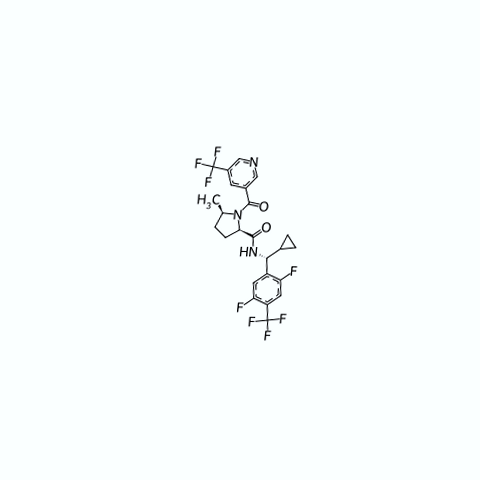 C[C@@H]1CC[C@H](C(=O)N[C@@H](c2cc(F)c(C(F)(F)F)cc2F)C2CC2)N1C(=O)c1cncc(C(F)(F)F)c1